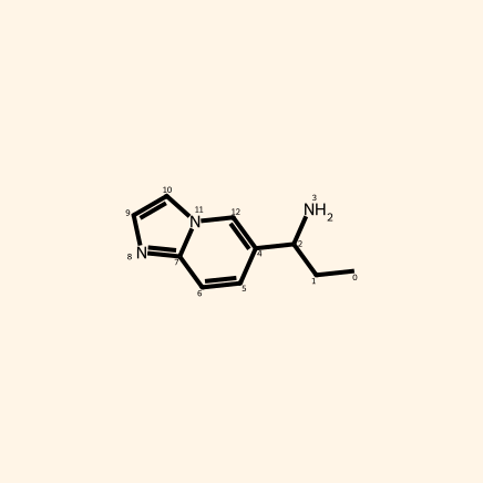 CCC(N)c1ccc2nccn2c1